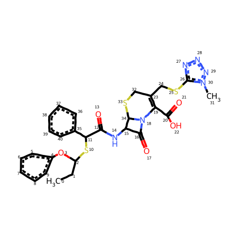 CCC(Oc1ccccc1)SC(C(=O)NC1C(=O)N2C(C(=O)O)=C(CSc3nnnn3C)CSC12)c1ccccc1